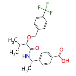 CC(C)[C@@H](OCc1ccc(C(F)(F)F)cc1)C(=O)N[C@@H](C)c1ccc(C(=O)O)cc1